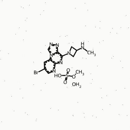 CNC1CN(c2nc3ncc(Br)cc3n3cnnc23)C1.COS(=O)(=O)O.O